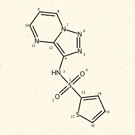 O=S(=O)(Nc1nnn2cccnc12)c1cccs1